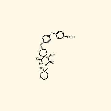 CCCN1C(=O)[C@@H](CC2(O)CCCCC2)NC(=O)C12CCN(Cc1ccc(Oc3ccc(C(=O)O)cc3)cc1)CC2